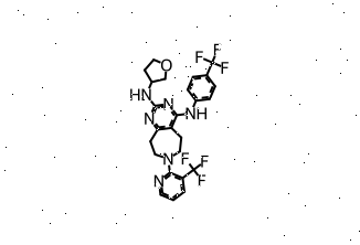 FC(F)(F)c1ccc(Nc2nc(NC3CCOC3)nc3c2CCN(c2ncccc2C(F)(F)F)CC3)cc1